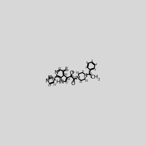 C=C(c1ccccc1)N1CCN(C(=O)C(=O)c2c[nH]c3c(-n4ccnn4)ncc(F)c23)CC1